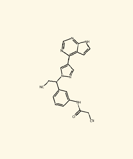 N#CCC(=O)Nc1cccc(C(CC#N)n2cc(-c3ncnc4[nH]ccc34)cn2)c1